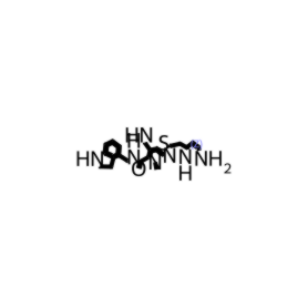 Cn1c(C(=O)NCc2cccc3c2CCN3)c(C=N)c2sc(CC(=N)/C=C\N)nc21